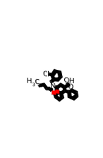 CCCCc1ncc(/C=C(/C(=O)O)C(c2ccccc2)c2ccccc2)n1Cc1ccccc1Cl